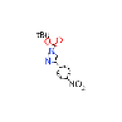 CC(C)(C)OC(=O)n1cnc(-c2ccc([N+](=O)[O-])cc2)c1